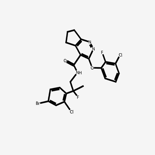 CC(F)(CNC(=O)c1c(Oc2cccc(Cl)c2F)nnc2c1CCC2)c1ccc(Br)cc1Cl